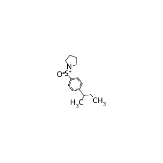 CCC(C)c1ccc([S+]([O-])N2CCCC2)cc1